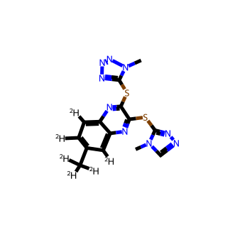 [2H]c1c(C([2H])([2H])[2H])c([2H])c2nc(Sc3nncn3C)c(Sc3nnnn3C)nc2c1[2H]